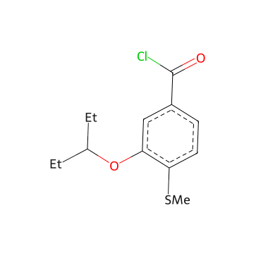 CCC(CC)Oc1cc(C(=O)Cl)ccc1SC